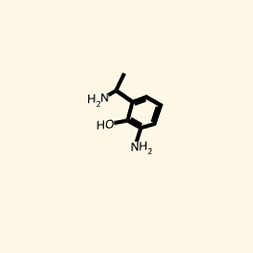 CC(N)c1cccc(N)c1O